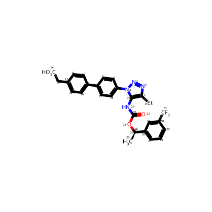 CCc1nnn(-c2ccc(-c3ccc(CC(=O)O)cc3)cc2)c1NC(=O)O[C@H](C)c1cccc(C(F)(F)F)c1